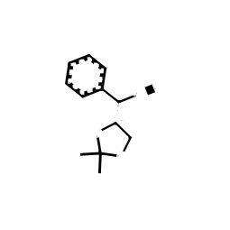 [C-]#[N+]C(c1ccccc1)[C@@H]1COC(C)(C)O1